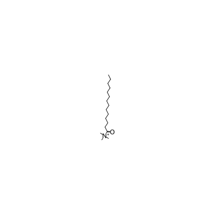 CCCCCCCCCCCCCC(=O)[N+](C)(C)C